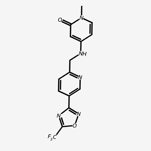 Cn1ccc(NCc2ccc(-c3noc(C(F)(F)F)n3)cn2)cc1=O